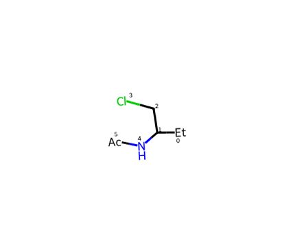 CCC(CCl)NC(C)=O